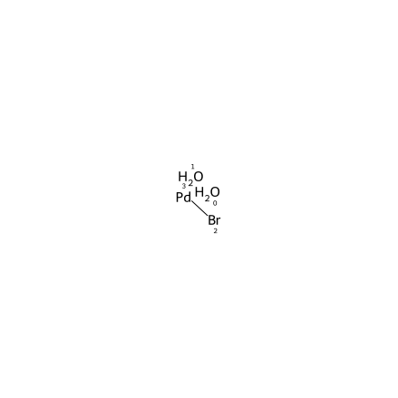 O.O.[Br][Pd]